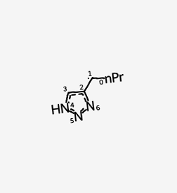 CCC[CH]c1c[nH]nn1